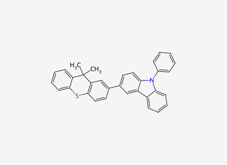 CC1(C)c2ccccc2Sc2ccc(-c3ccc4c(c3)c3ccccc3n4-c3ccccc3)cc21